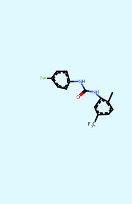 Cc1ccc(C(F)(F)F)cc1NC(=O)Nc1ccc(F)cc1